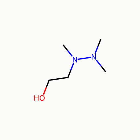 CN(C)N(C)CCO